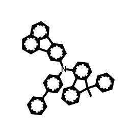 CC1(c2ccccc2)c2ccccc2-c2c(N(c3ccc(-c4ccccc4)cc3)c3ccc4c(c3)-c3cccc5cccc-4c35)cccc21